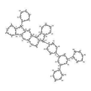 c1ccc(-n2c3ccccc3c3cc4ccc5c(c4cc32)c2ccccc2n5-c2ccc(-c3cc(-c4ccccn4)cc(-c4ccccn4)c3)cn2)cc1